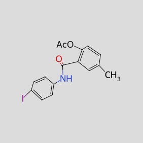 CC(=O)Oc1ccc(C)cc1C(=O)Nc1ccc(I)cc1